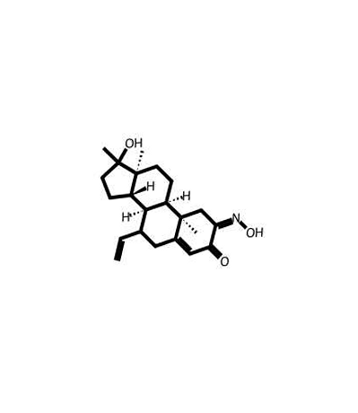 C=CC1CC2=CC(=O)C(=NO)C[C@]2(C)[C@@H]2CC[C@@]3(C)[C@@H](CCC3(C)O)[C@H]12